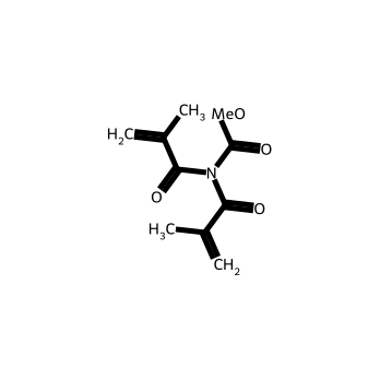 C=C(C)C(=O)N(C(=O)OC)C(=O)C(=C)C